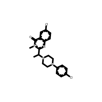 CC(c1nc2ccc(Cl)cc2c(=O)n1C)N1CCN(c2ccc(Cl)cc2)CC1